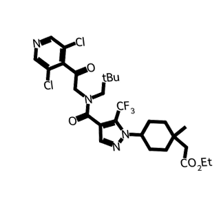 CCOC(=O)CC1(C)CCC(n2ncc(C(=O)N(CC(=O)c3c(Cl)cncc3Cl)CC(C)(C)C)c2C(F)(F)F)CC1